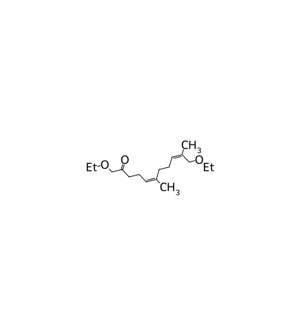 CCOCC(=O)CCC=C(C)CCC=C(C)COCC